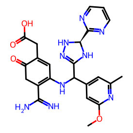 COc1cc(C(NC2=C(C(=N)N)CC(=O)C(CC(=O)O)=C2)C2=NN[C@@H](c3ncccn3)N2)cc(C)n1